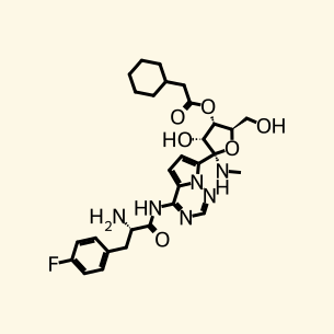 CN[C@@]1(c2ccc3c(NC(=O)[C@@H](N)Cc4ccc(F)cc4)ncnn23)O[C@H](CO)[C@@H](OC(=O)CC2CCCCC2)[C@H]1O